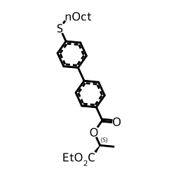 CCCCCCCCSc1ccc(-c2ccc(C(=O)O[C@@H](C)C(=O)OCC)cc2)cc1